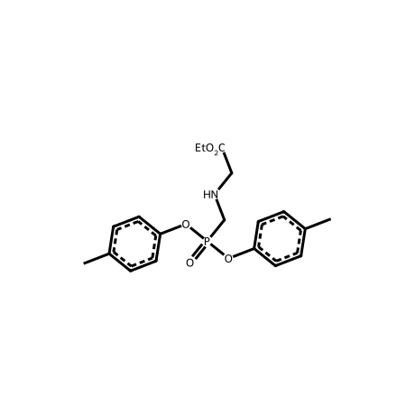 CCOC(=O)CNCP(=O)(Oc1ccc(C)cc1)Oc1ccc(C)cc1